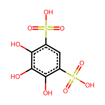 O=S(=O)(O)c1cc(S(=O)(=O)O)c(O)c(O)c1O